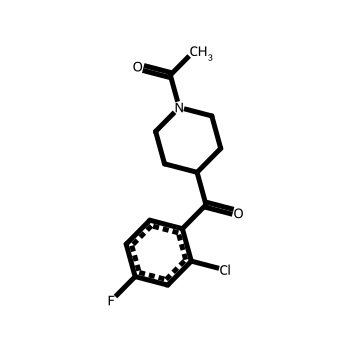 CC(=O)N1CCC(C(=O)c2ccc(F)cc2Cl)CC1